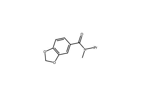 CC(C)N(C)C(=O)c1ccc2c(c1)OCO2